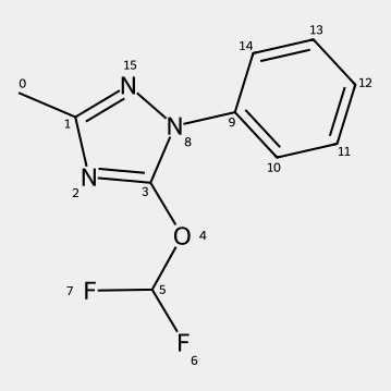 Cc1nc(OC(F)F)n(-c2ccccc2)n1